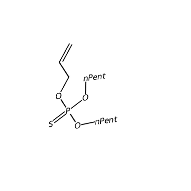 C=CCOP(=S)(OCCCCC)OCCCCC